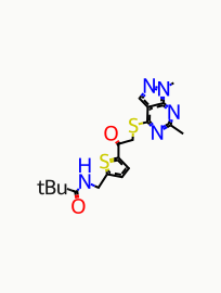 Cc1nc(SCC(=O)c2ccc(CNC(=O)C(C)(C)C)s2)c2cnn(C)c2n1